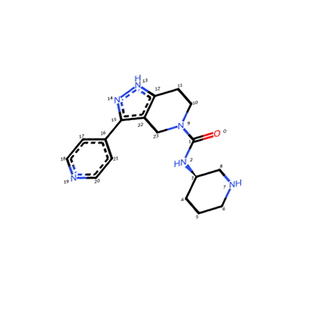 O=C(N[C@@H]1CCCNC1)N1CCc2[nH]nc(-c3ccncc3)c2C1